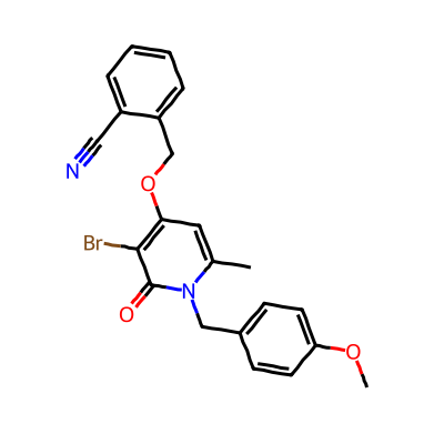 COc1ccc(Cn2c(C)cc(OCc3ccccc3C#N)c(Br)c2=O)cc1